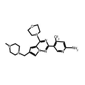 CN1CCN(Cc2cc3c(N4CCOCC4)nc(-c4cnc(N)cc4C(F)(F)F)nn3c2)CC1